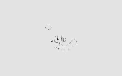 CC(C)[C@H](NC(CCc1ccccc1)C(=O)O)C(=O)N(c1ccc(-c2ccccc2)cc1)[C@@H](C)C(=O)O